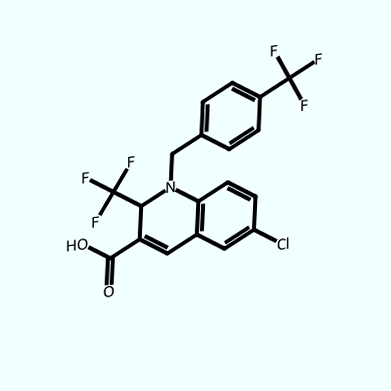 O=C(O)C1=Cc2cc(Cl)ccc2N(Cc2ccc(C(F)(F)F)cc2)C1C(F)(F)F